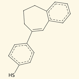 Sc1ccc(C2=Cc3ccccc3CCC2)cc1